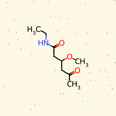 CCNC(=O)CC(CC(C)=O)OC